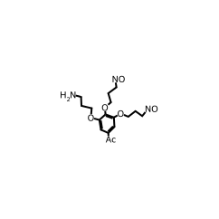 CC(=O)c1cc(OCCCN)c(OCCCN=O)c(OCCCN=O)c1